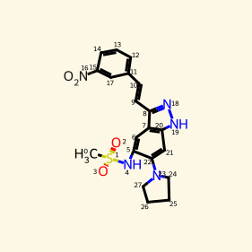 CS(=O)(=O)Nc1cc2c(/C=C/c3cccc([N+](=O)[O-])c3)n[nH]c2cc1N1CCCC1